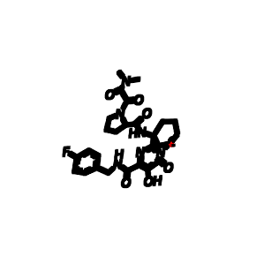 CN(C)C(=O)C(=O)N1CCCC1C(=O)NC12CCC(CC1)Cn1c2nc(C(=O)NCc2ccc(F)cc2)c(O)c1=O